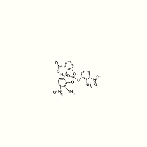 Nc1c(OP(=O)(Oc2cccc([N+](=O)[O-])c2N)Oc2cccc([N+](=O)[O-])c2N)cccc1[N+](=O)[O-]